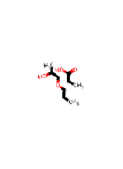 CCC(=O)O.CCCOCC(C)O